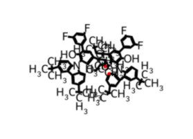 CC(C)(C)CC(C)(C)c1cc(-c2cc(F)cc(F)c2)c(O)c(-n2c3ccc(C(C)(C)C)cc3c3cc(C(C)(C)C)ccc32)c1OCCOc1c(C(C)(C)CC(C)(C)C)cc(-c2cc(F)cc(F)c2)c(O)c1-n1c2ccc(C(C)(C)C)cc2c2cc(C(C)(C)C)ccc21